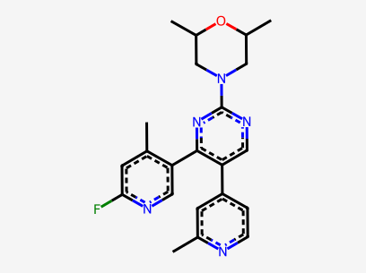 Cc1cc(-c2cnc(N3CC(C)OC(C)C3)nc2-c2cnc(F)cc2C)ccn1